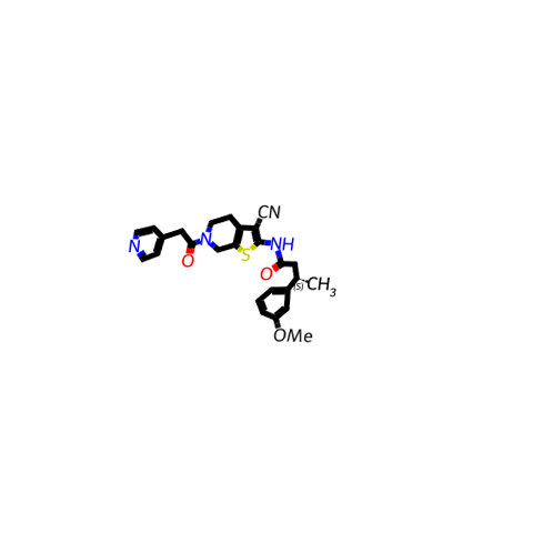 COc1cccc([C@@H](C)CC(=O)Nc2sc3c(c2C#N)CCN(C(=O)Cc2ccncc2)C3)c1